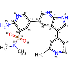 Cc1cc(-c2c[nH]c3ncc(-c4cnc(N)c(S(=O)(=O)N(C)C)c4)cc23)ccn1